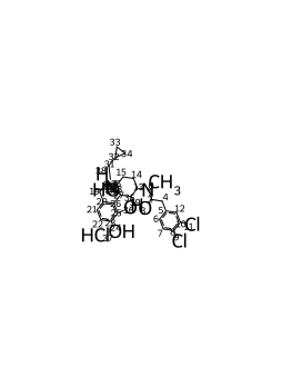 CN(C(=O)Cc1ccc(Cl)c(Cl)c1)[C@@H]1CC[C@@]2(O)[C@H]3Cc4ccc(O)c5c4[C@@]2(CCN3CC2CC2)[C@H]1O5.Cl